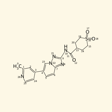 Cc1cc(-c2ccc3nc(NC(=O)C4CCS(=O)(=O)CC4)nn3c2)ccn1